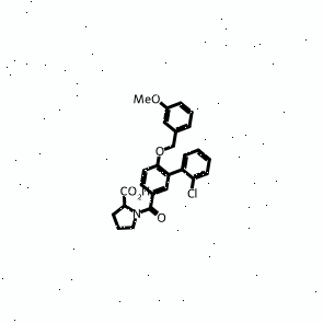 COc1cccc(COc2ccc(C(=O)N3CCCC3C(=O)O)cc2-c2ccccc2Cl)c1